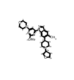 COc1nc(N2CCOCC2)cc(-n2ncc3cc(C)c(C4CCN(C5CCOC5)CC4)cc32)n1